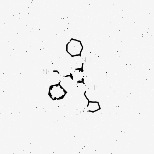 CCN1CCCC1CNc1nc(NC2CCCCCC2)nc(N(CC#N)c2ccccc2)n1.[Cl-].[H+]